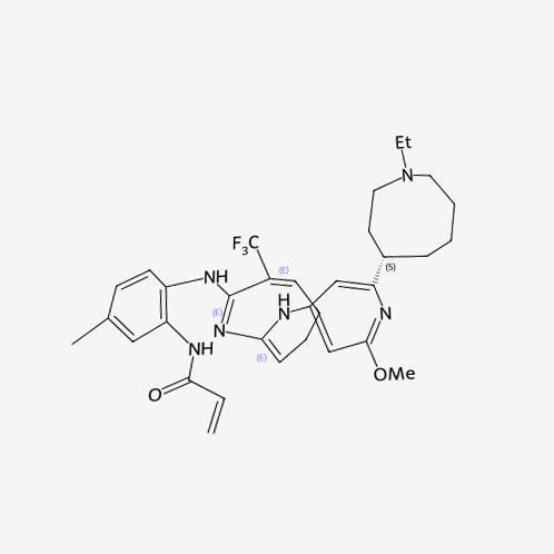 C=CC(=O)Nc1cc(C)ccc1NC1=N/C(Nc2cc(OC)nc([C@H]3CCCCN(CC)CC3)c2)=C/CC/C=C\1C(F)(F)F